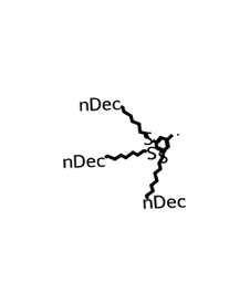 [CH2]c1cc(SCCCCCCCCCCCCCCCCC)c(SCCCCCCCCCCCCCCCCC)c(SCCCCCCCCCCCCCCCCC)c1